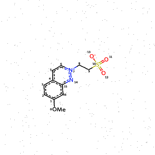 COc1ccc2cc[n+](CCS(=O)(=O)[O-])nc2c1